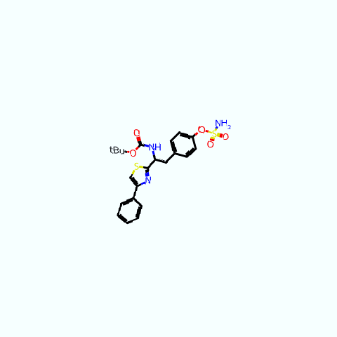 CC(C)(C)OC(=O)NC(Cc1ccc(OS(N)(=O)=O)cc1)c1nc(-c2ccccc2)cs1